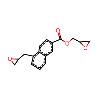 O=C(OCC1CO1)c1ccc2c(CC3CO3)cccc2c1